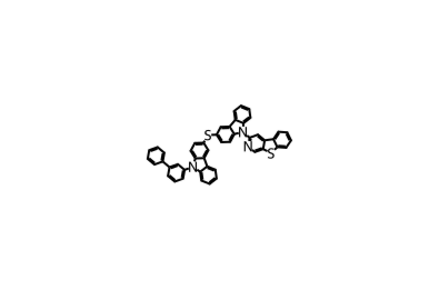 c1ccc(-c2cccc(-n3c4ccccc4c4cc(Sc5ccc6c(c5)c5ccccc5n6-c5cc6c(cn5)sc5ccccc56)ccc43)c2)cc1